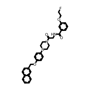 O=C(NCC(=O)N1CCN(c2ccc(OCc3ccc4ccccc4c3)cc2)CC1)c1cccc(OCCF)c1